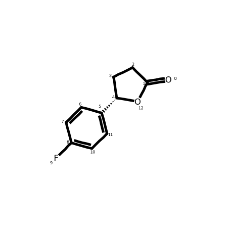 O=C1CC[C@@H](c2ccc(F)cc2)O1